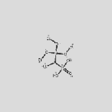 CCO[Si](OCC)(OCC)C(C)P(=O)(O)O